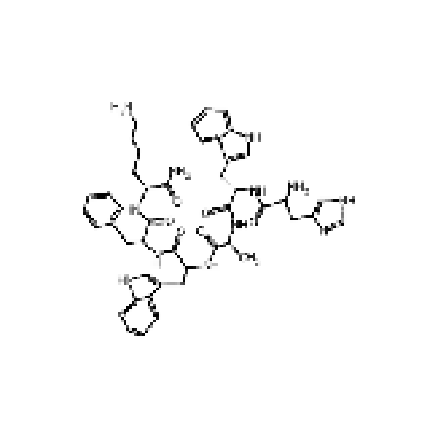 C[C@H](NC(=O)[C@H](Cc1c[nH]c2ccccc12)NC(=O)[C@@H](N)Cc1c[nH]cn1)C(=O)N[C@@H](Cc1c[nH]c2ccccc12)C(=O)N[C@@H](Cc1ccccc1)C(=O)N[C@@H](CCCCN)C(N)=O